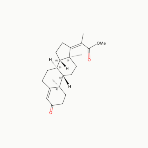 COC(=O)C(C)=C1CC[C@H]2[C@@H]3CCC4=CC(=O)CC[C@]4(C)[C@H]3CC[C@]12C